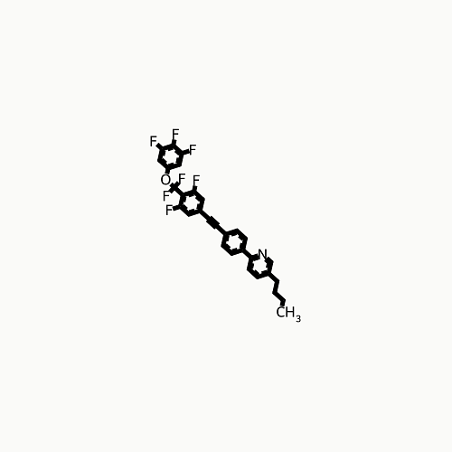 CCCCc1ccc(-c2ccc(C#Cc3cc(F)c(C(F)(F)Oc4cc(F)c(F)c(F)c4)c(F)c3)cc2)nc1